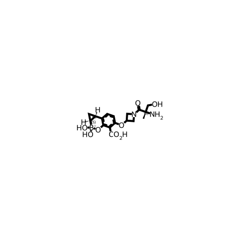 C[C@](N)(CO)C(=O)N1CC(Oc2ccc3c(c2C(=O)O)O[B-](O)(O)[C@H]2C[C@@H]32)C1